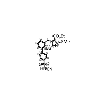 CCCCc1nc(SC)c(C(=O)OCC)n1Cc1cccc(-c2ccc(S(=O)(=O)NC#N)cc2)c1